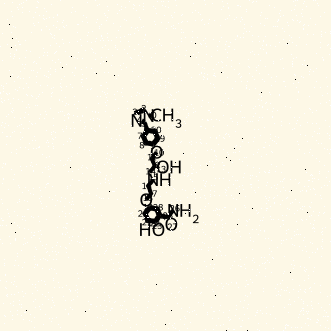 Cn1ccnc1-c1ccc(OCC(O)CNCCOc2ccc(O)c(C(N)=O)c2)cc1